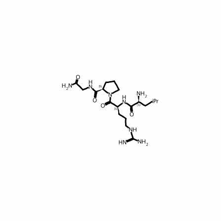 CC(C)C[C@H](N)C(=O)N[C@@H](CCCNC(=N)N)C(=O)N1CCC[C@@H]1C(=O)NCC(N)=O